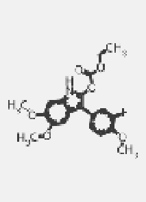 CCOC(=O)Oc1[nH]c2cc(OC)c(OC)cc2c1-c1ccc(OC)c(F)c1